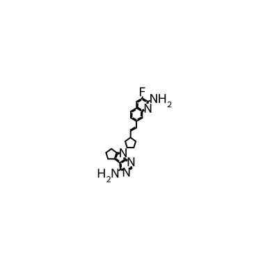 Nc1nc2cc(/C=C/C3CCC(n4c5c(c6c(N)ncnc64)CCC5)C3)ccc2cc1F